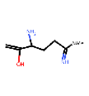 C=C(O)C(N)CCC(=N)NC